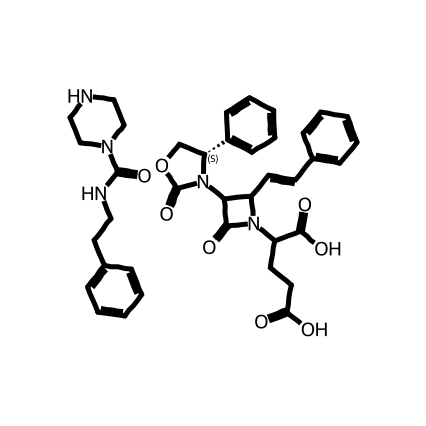 O=C(NCCc1ccccc1)N1CCNCC1.O=C(O)CCC(C(=O)O)N1C(=O)C(N2C(=O)OC[C@@H]2c2ccccc2)C1C=Cc1ccccc1